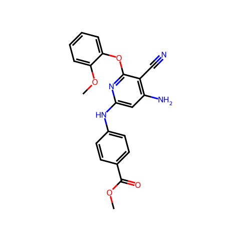 COC(=O)c1ccc(Nc2cc(N)c(C#N)c(Oc3ccccc3OC)n2)cc1